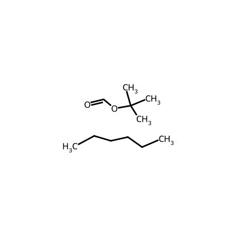 CC(C)(C)OC=O.CCCCCC